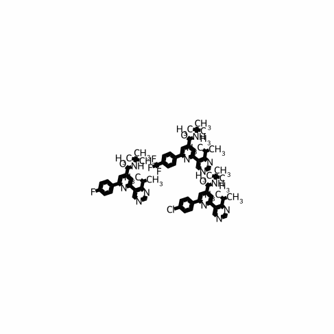 CC(C)c1ncncc1-c1cc(C(=O)NC(C)(C)C)cc(-c2ccc(C(F)(F)F)cc2)n1.CC(C)c1ncncc1-c1cc(C(=O)NC(C)(C)C)cc(-c2ccc(Cl)cc2)n1.CC(C)c1ncncc1-c1cc(C(=O)NC(C)(C)C)cc(-c2ccc(F)cc2)n1